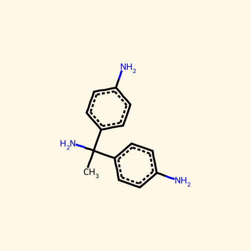 CC(N)(c1ccc(N)cc1)c1ccc(N)cc1